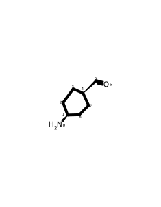 N[C@H]1CC[C@@H](C=O)CC1